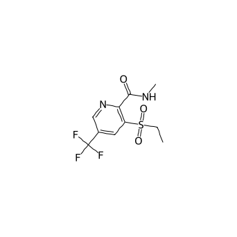 CCS(=O)(=O)c1cc(C(F)(F)F)cnc1C(=O)NC